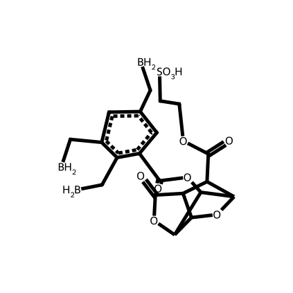 BCc1cc(CB)c(CB)c(C(=O)OC2C3OC(=O)C4C3OC2C4C(=O)OCCS(=O)(=O)O)c1